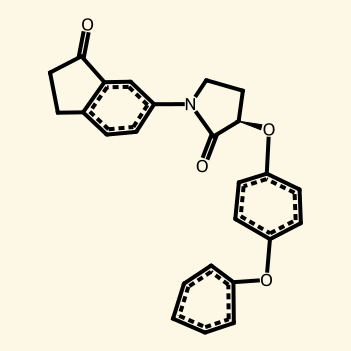 O=C1CCc2ccc(N3CC[C@@H](Oc4ccc(Oc5ccccc5)cc4)C3=O)cc21